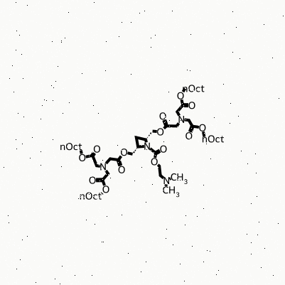 CCCCCCCCOC(=O)CN(CC(=O)OCCCCCCCC)CC(=O)OC[C@@H]1C[C@H](COC(=O)CN(CC(=O)OCCCCCCCC)CC(=O)OCCCCCCCC)N1C(=O)OCCN(C)C